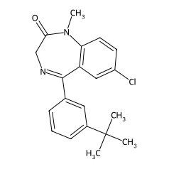 CN1C(=O)CN=C(c2cccc(C(C)(C)C)c2)c2cc(Cl)ccc21